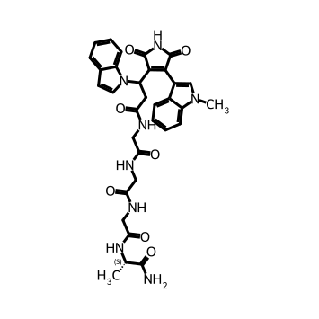 C[C@H](NC(=O)CNC(=O)CNC(=O)CNC(=O)CC(C1=C(c2cn(C)c3ccccc23)C(=O)NC1=O)n1ccc2ccccc21)C(N)=O